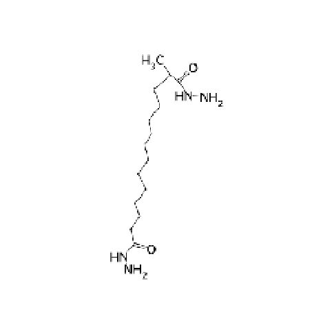 CC(CCCCCCCCCCCC(=O)NN)C(=O)NN